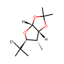 CCC(C)(C)[C@H]1O[C@@H]2OC(C)(C)O[C@@H]2[C@@H]1C